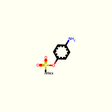 CCCCCCS(=O)(=O)Oc1ccc(N)cc1